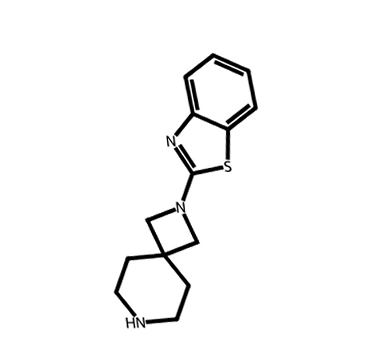 c1ccc2sc(N3CC4(CCNCC4)C3)nc2c1